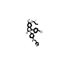 CC[C@@H](C)Oc1cc2c(cc1OC)CC(=O)N(c1ccc(N(C)Cc3ccsc3)cc1)C2c1ccc(Cl)cc1